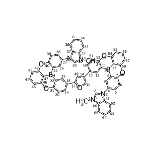 C[n+]1cn(-c2ccc3c(c2)B2c4cc(-c5coc(-c6ccc7c(c6)B6c8cc(-n9c[n+](C)c%10ccccc%109)ccc8Oc8cccc(c86)O7)c5)ccc4Oc4cccc(c42)O3)c2ccccc21